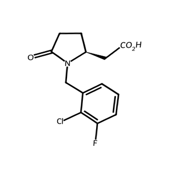 O=C(O)C[C@@H]1CCC(=O)N1Cc1cccc(F)c1Cl